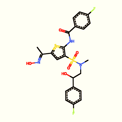 CC(=NO)c1cc(S(=O)(=O)N(C)CC(O)c2ccc(F)cc2)c(NC(=O)c2ccc(F)cc2)s1